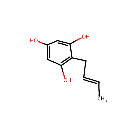 C/C=C/Cc1c(O)cc(O)cc1O